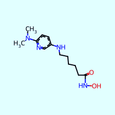 CN(C)c1ccc(NCCCCCC(=O)NO)cn1